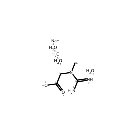 CN(CC(=O)O)C(=N)N.O.O.O.O.[NaH]